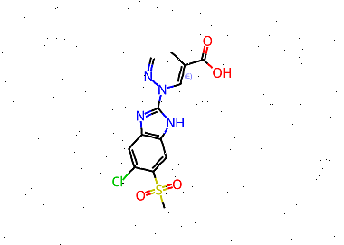 C=NN(/C=C(\C)C(=O)O)c1nc2cc(Cl)c(S(C)(=O)=O)cc2[nH]1